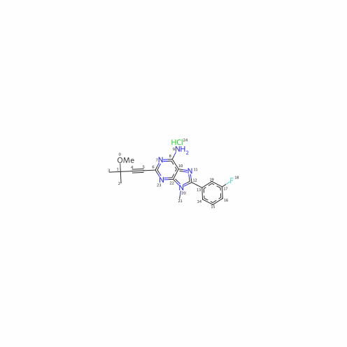 COC(C)(C)C#Cc1nc(N)c2nc(-c3cccc(F)c3)n(C)c2n1.Cl